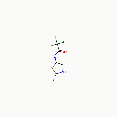 C[C@H]1NC[C@H](NC(=O)C(F)(F)F)S1